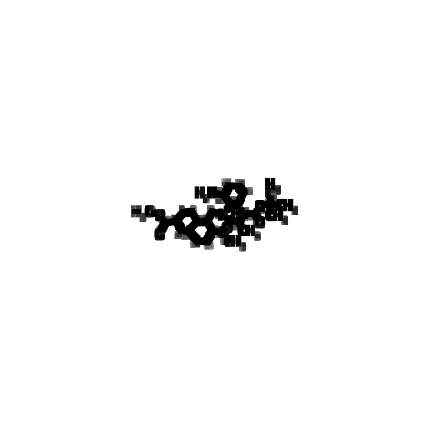 COC(=O)c1ccc2c(CN(C(=O)C(C)NC(=O)OC(C)(C)C)c3ccccc3N)c(OC)ccc2c1